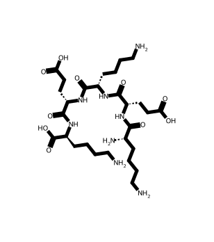 NCCCC[C@H](NC(=O)[C@H](CCC(=O)O)NC(=O)[C@H](CCCCN)NC(=O)[C@H](CCC(=O)O)NC(=O)[C@@H](N)CCCCN)C(=O)O